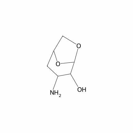 NC1CC2COC(O2)C1O